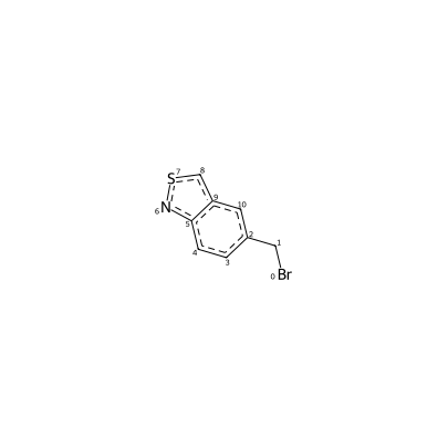 BrCc1ccc2nscc2c1